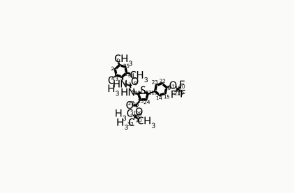 Cc1cc(C)c(NC(=O)Nc2sc(-c3ccc(OC(F)(F)F)cc3)cc2C(=O)OC(C)(C)C)c(C)c1